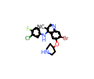 N#Cc1cnc2cc(Br)c(OC3CCNCC3)cc2c1Nc1ccc(F)c(Cl)c1